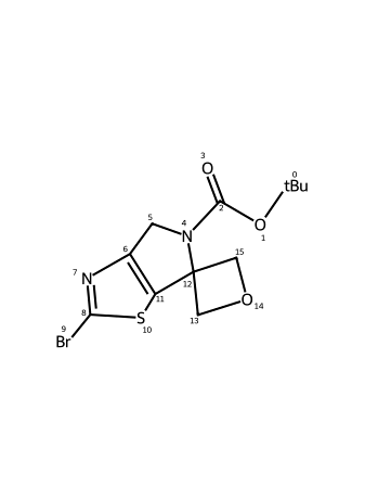 CC(C)(C)OC(=O)N1Cc2nc(Br)sc2C12COC2